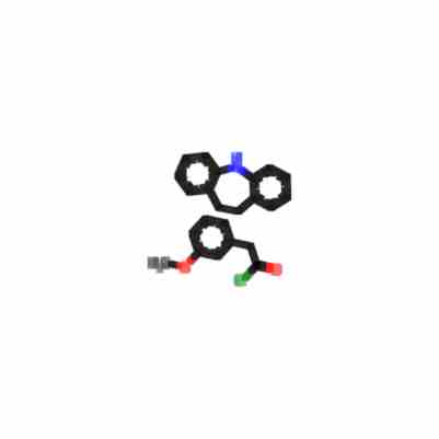 COc1cccc(CC(=O)Cl)c1.c1ccc2c(c1)CCc1ccccc1N2